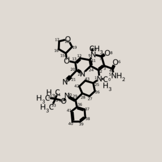 CN(c1c(C(N)=O)c(=O)n(C)c2cc(OC3CCOC3)c(C#N)nc12)C1CCC(C(=NOC(C)(C)C)c2ccccc2)CC1